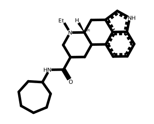 CCN1CC(C(=O)NC2CCCCCC2)CC2c3cccc4[nH]cc(c34)C[C@H]21